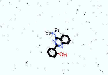 CCN(CC)c1nc(-c2ccccc2O)nc2ccccc12